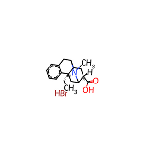 Br.CC[C@@]12CC3[C@@H](C(=O)O)CC1C(Cc1ccccc12)N3C